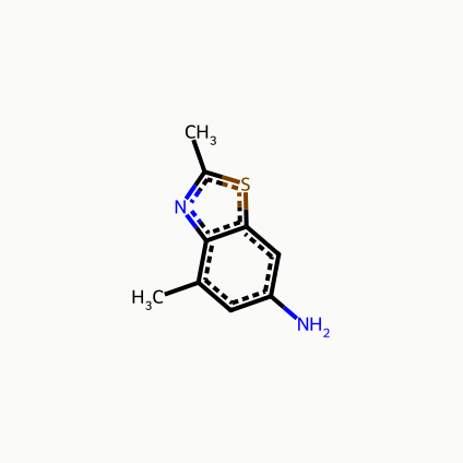 Cc1nc2c(C)cc(N)cc2s1